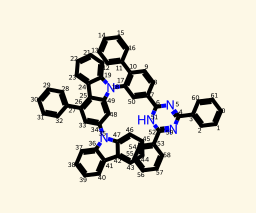 c1ccc(C2=NC(c3ccc(-c4ccccc4)c(-n4c5ccccc5c5c(-c6ccccc6)cc(-n6c7ccccc7c7ccccc76)cc54)c3)NC(c3ccccc3)=N2)cc1